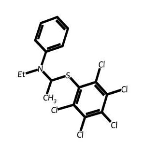 CCN(c1ccccc1)C(C)Sc1c(Cl)c(Cl)c(Cl)c(Cl)c1Cl